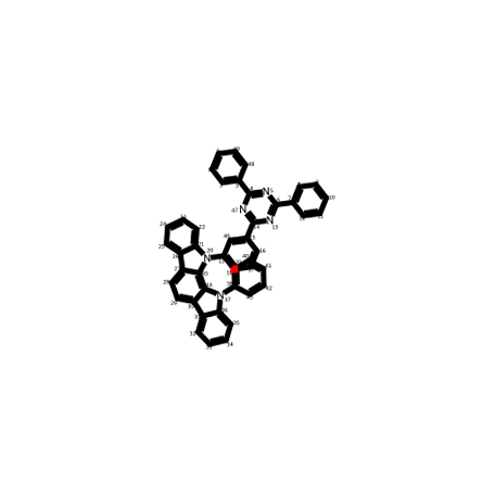 c1ccc(-c2nc(-c3ccccc3)nc(-c3cccc(-n4c5ccccc5c5ccc6c7ccccc7n(-c7ccccc7)c6c54)c3)n2)cc1